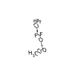 CCCc1ccc(C#C/C(F)=C(\F)c2ccc(C#CC(=O)c3ccc(C)cc3)cc2)cc1